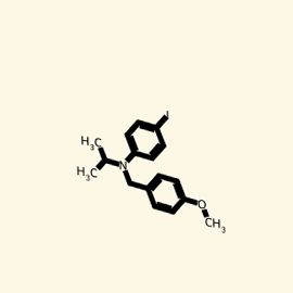 COc1ccc(CN(c2ccc(I)cc2)C(C)C)cc1